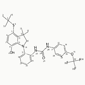 CC(C)(C)Sc1ccc(O)c2c1C(C)(C)CN2c1ccccc1NC(=O)Nc1ccc(OC(F)(F)F)cc1